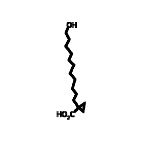 O=C(O)C1(CCCCCCCCCCCO)CC1